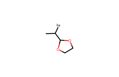 [2H]C(C)C1OCCO1